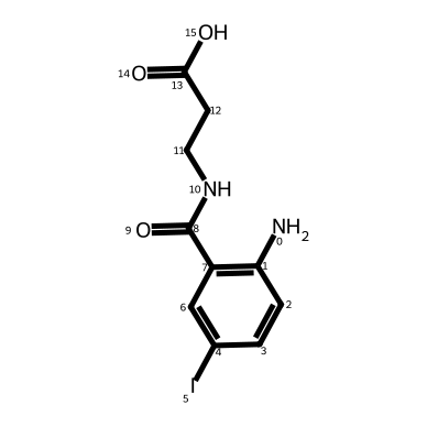 Nc1ccc(I)cc1C(=O)NCCC(=O)O